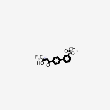 CS(=O)(=O)c1cccc(-c2ccc(C(=O)/C=C(\O)C(F)(F)F)cc2)c1